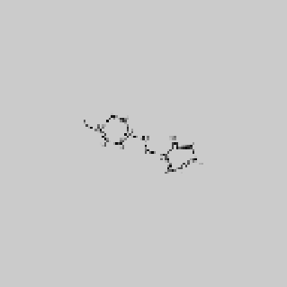 Cc1ccc(SCc2ccccn2)cc1